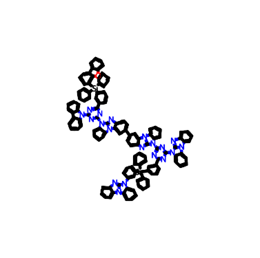 c1ccc([Si](c2ccccc2)(c2cccc(-c3nc(-n4c5ccccc5n5c6ccccc6nc45)nc(-n4c5ccccc5n5c6cc(-c7ccc8nc9n(-c%10nc(-c%11cccc([Si](c%12ccccc%12)(c%12ccccc%12)c%12cccc%13c%12oc%12ccccc%12%13)c%11)nc(-n%11c%12ccccc%12c%12ccccc%12%11)n%10)c%10ccccc%10n9c8c7)ccc6nc45)n3)c2)c2cccc(-n3c4ccccc4n4c5ccccc5nc34)c2)cc1